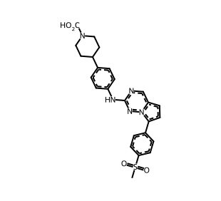 CS(=O)(=O)c1ccc(-c2ccc3cnc(Nc4ccc(C5CCN(C(=O)O)CC5)cc4)nn23)cc1